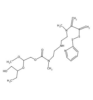 C=C(SSc1ccccn1)C(=C)N(C)CCNCCN(C)C(=O)OCC(OC)OC(CC)CO